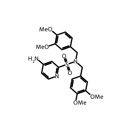 COc1ccc(CN(Cc2ccc(OC)c(OC)c2)S(=O)(=O)c2cc(N)ccn2)cc1OC